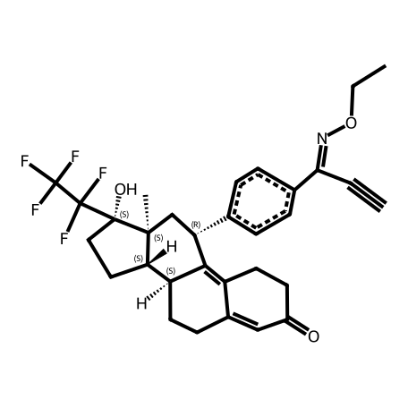 C#CC(=NOCC)c1ccc([C@H]2C[C@@]3(C)[C@@H](CC[C@@]3(O)C(F)(F)C(F)(F)F)[C@@H]3CCC4=CC(=O)CCC4=C32)cc1